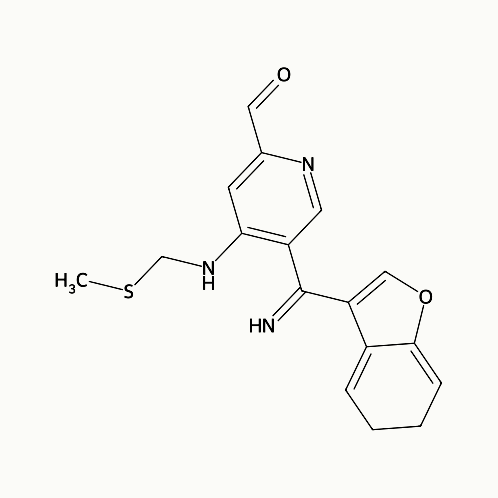 CSCNc1cc(C=O)ncc1C(=N)c1coc2c1=CCCC=2